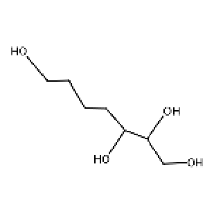 OCCCCC(O)C(O)CO